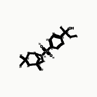 CCC(C)(O)c1ccc(S(=O)(=O)N2CC3(C)CC2CC(C)(C)C3)cc1